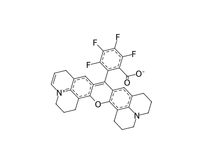 O=C([O-])c1c(F)c(F)c(F)c(F)c1C1=c2cc3c4c(c2Oc2c1cc1c5c2CCCN5CCC1)CCC[N+]=4C=CC3